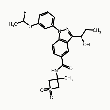 CC[C@@H](O)c1nn(-c2cccc(OC(C)F)c2)c2ccc(C(=O)NC3(C)CS(=O)(=O)C3)cc12